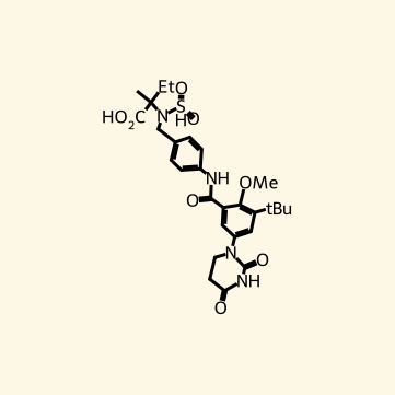 CCC(C)(C(=O)O)N(Cc1ccc(NC(=O)c2cc(N3CCC(=O)NC3=O)cc(C(C)(C)C)c2OC)cc1)[SH](=O)=O